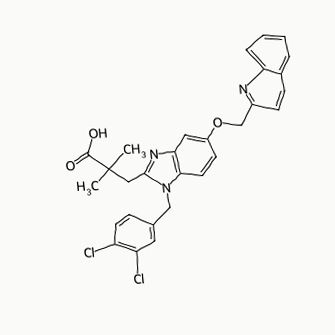 CC(C)(Cc1nc2cc(OCc3ccc4ccccc4n3)ccc2n1Cc1ccc(Cl)c(Cl)c1)C(=O)O